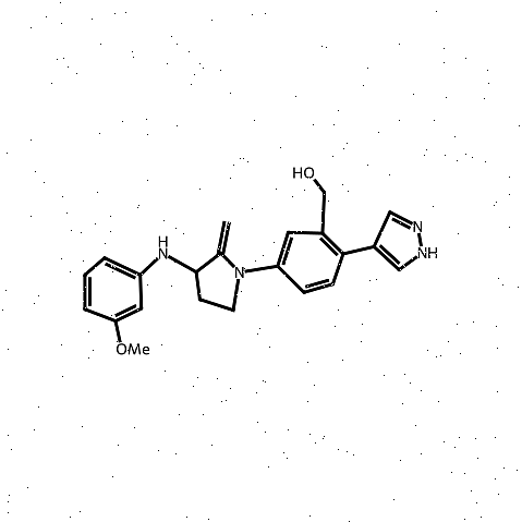 C=C1C(Nc2cccc(OC)c2)CCN1c1ccc(-c2cn[nH]c2)c(CO)c1